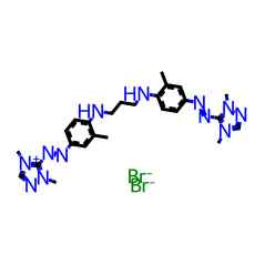 Cc1cc(/N=N/c2n(C)nc[n+]2C)ccc1NCCCNc1ccc(/N=N/c2n(C)nc[n+]2C)cc1C.[Br-].[Br-]